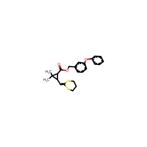 CC1(C)C(C=C2SCCCS2)C1C(=O)OCc1cccc(Oc2ccccc2)c1